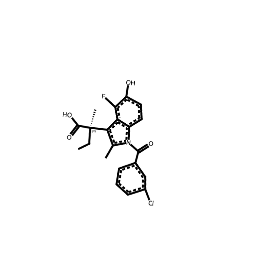 CC[C@@](C)(C(=O)O)c1c(C)n(C(=O)c2cccc(Cl)c2)c2ccc(O)c(F)c12